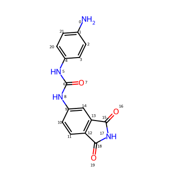 Nc1ccc(NC(=O)Nc2ccc3c(c2)C(=O)NC3=O)cc1